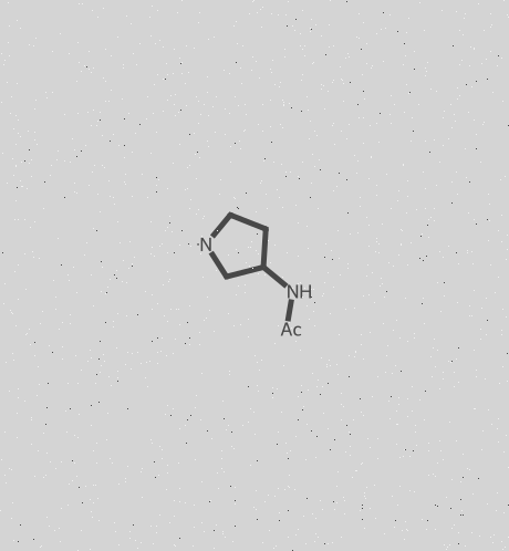 CC(=O)NC1CC[N]C1